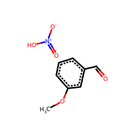 COc1cccc(C=O)c1.O=[N+]([O-])O